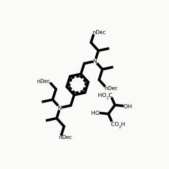 CCCCCCCCCCCC(C)N(Cc1ccc(CN(C(C)CCCCCCCCCCC)C(C)CCCCCCCCCCC)cc1)C(C)CCCCCCCCCCC.O=C(O)C(O)C(O)C(=O)O